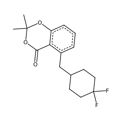 CC1(C)OC(=O)c2c(CC3CCC(F)(F)CC3)cccc2O1